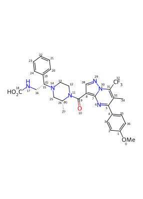 COc1ccc(-c2nc3c(C(=O)N4CCN([C@H](CNC(=O)O)c5ccccc5)C[C@H]4C)cnn3c(C(F)(F)F)c2C)cc1